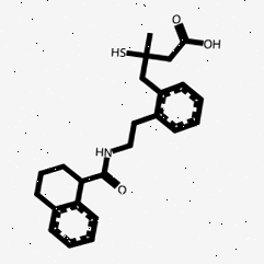 CC(S)(CC(=O)O)Cc1ccccc1CCNC(=O)C1CCCc2ccccc21